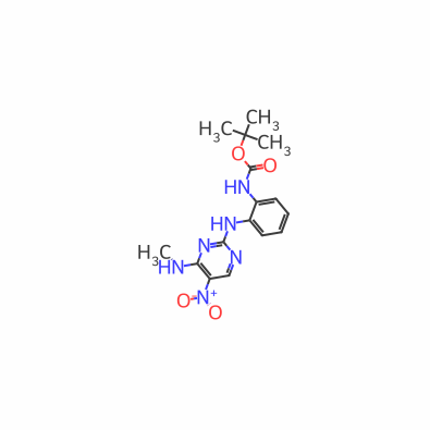 CNc1nc(Nc2ccccc2NC(=O)OC(C)(C)C)ncc1[N+](=O)[O-]